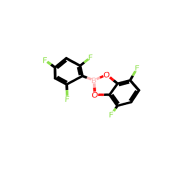 Fc1cc(F)c(B2Oc3c(F)ccc(F)c3O2)c(F)c1